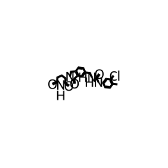 Cc1ccc(NC(=O)NCc2ccc3c(c2)C(=O)N(C2CCC(=O)NC2=O)C3)cc1Cl